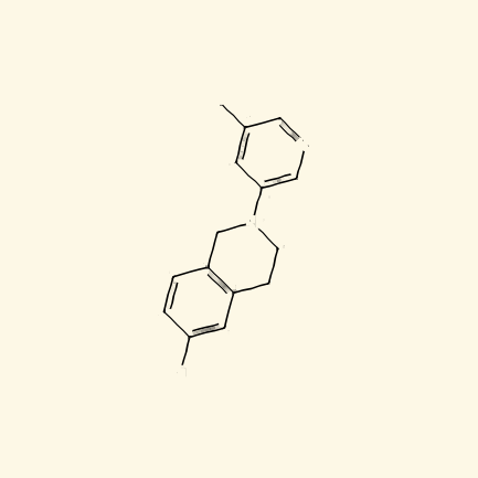 Clc1ccc2c(c1)CCN(c1cncc(I)c1)C2